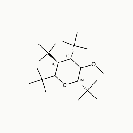 COC1[C@H](C(C)(C)C)OC(C(C)(C)C)[C@@H](C(C)(C)C)[C@@H]1C(C)(C)C